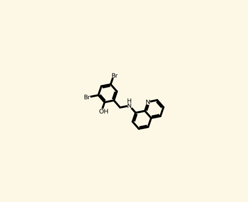 Oc1c(Br)cc(Br)cc1CNc1cccc2cccnc12